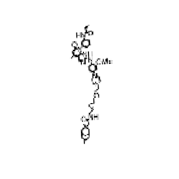 C=CC(=O)Nc1cccc(-n2c(=O)cc(C)c3cnc(Nc4ccc(N5CCN(CCOCCOCCNC(=O)CC6(C)CC7CC(C)CC(C7)C6)CC5)cc4OC)nc32)c1